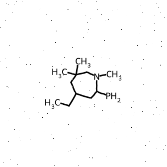 CCC1CC(P)N(C)CC(C)(C)C1